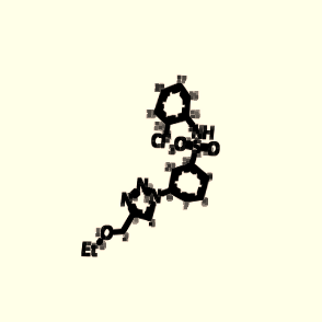 CCOCc1cn(-c2cccc(S(=O)(=O)Nc3ccccc3C(F)(F)F)c2)nn1